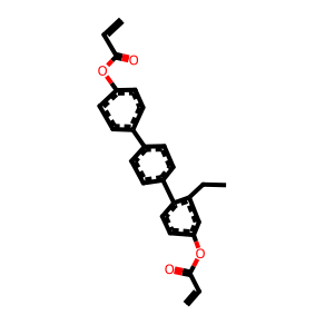 C=CC(=O)Oc1ccc(-c2ccc(-c3ccc(OC(=O)C=C)cc3CC)cc2)cc1